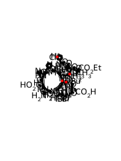 CCOC(=O)OC(C)OC(=O)[C@@H]1N2C(=O)[C@@H](NC(=O)[C@H](N)c3ccccc3)[C@H]2SC1(C)C.CC[C@@H](C)[C@H](N)C1=NC[C@H](C(=O)N[C@@H](CC(C)C)C(=O)N[C@H](CCC(=O)O)C(=O)N[C@H](C(=O)N[C@H]2CCCCNC(=O)[C@H](CC(N)=O)NC(=O)[C@@H](CC(=O)O)NC(=O)[C@H](Cc3cnc[nH]3)NC(=O)[C@@H](Cc3ccccc3)NC(=O)[C@H]([C@H](C)CC)NC(=O)[C@@H](CCCN)NC2=O)[C@H](C)CC)S1.[Cl-].[H+]